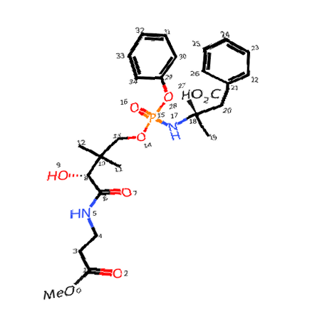 COC(=O)CCNC(=O)[C@H](O)C(C)(C)COP(=O)(N[C@@](C)(Cc1ccccc1)C(=O)O)Oc1ccccc1